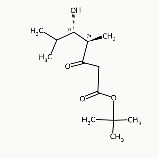 CC(C)[C@H](O)[C@@H](C)C(=O)CC(=O)OC(C)(C)C